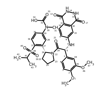 COc1ccc([C@@H](Nc2ccc3c(=O)[nH][nH]c(=O)c3c2)C(=O)N2CCC[C@@H]2c2cc(N(C)C(=O)O)ccc2S(=O)(=O)C(C)C)cc1OC